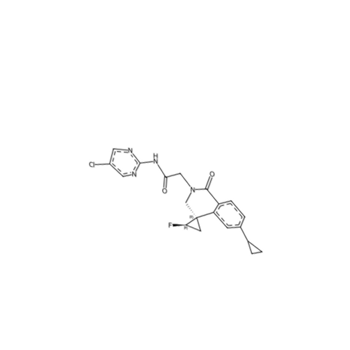 O=C(CN1C[C@@]2(C[C@H]2F)c2cc(C3CC3)ccc2C1=O)Nc1ncc(Cl)cn1